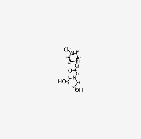 O=C(CN(CCO)CCO)Oc1ccc(Cl)cc1